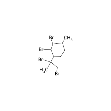 CC1CCC(C(C)(Br)CBr)C(Br)C1Br